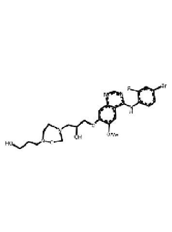 COc1cc2c(Nc3ccc(Br)cc3F)ncnc2cc1OCC(O)CN1CCN(CCCO)CC1